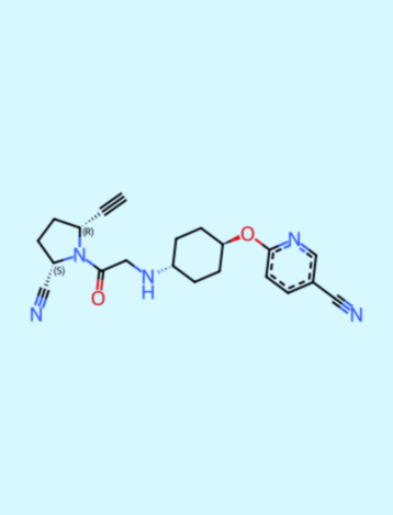 C#C[C@H]1CC[C@@H](C#N)N1C(=O)CN[C@H]1CC[C@H](Oc2ccc(C#N)cn2)CC1